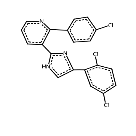 Clc1ccc(-c2ncccc2-c2nc(-c3cc(Cl)ccc3Cl)c[nH]2)cc1